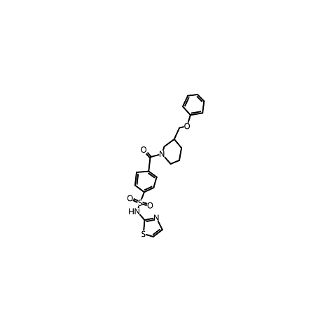 O=C(c1ccc(S(=O)(=O)Nc2nccs2)cc1)N1CCCC(COc2ccccc2)C1